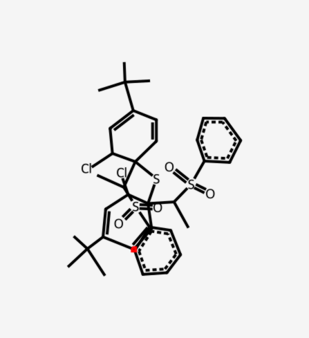 CC(C1(SC2(C(C)S(=O)(=O)c3ccccc3)C=CC(C(C)(C)C)=CC2Cl)C=CC(C(C)(C)C)=CC1Cl)S(=O)(=O)c1ccccc1